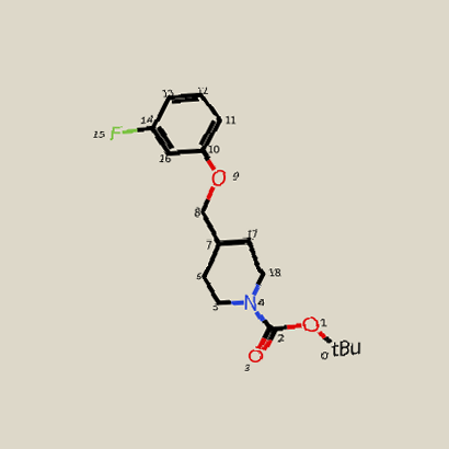 CC(C)(C)OC(=O)N1CCC(COc2cccc(F)c2)CC1